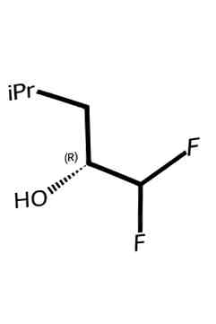 CC(C)C[C@@H](O)C(F)F